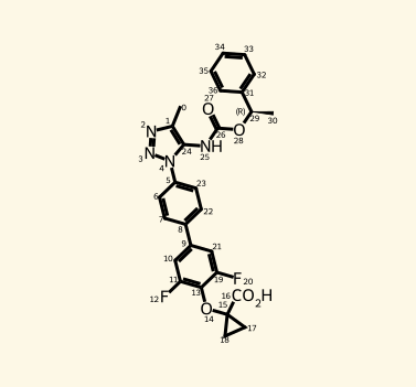 Cc1nnn(-c2ccc(-c3cc(F)c(OC4(C(=O)O)CC4)c(F)c3)cc2)c1NC(=O)O[C@H](C)c1ccccc1